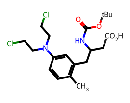 Cc1ccc(N(CCCl)CCCl)cc1CC(CC(=O)O)NC(=O)OC(C)(C)C